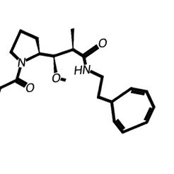 CCC(=O)N1CCC[C@H]1[C@H](OC)[C@@H](C)C(=O)NCCC1C=CC=CC=C1